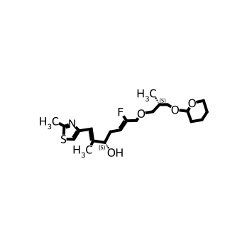 CC(=Cc1csc(C)n1)[C@@H](O)CC=C(F)COC[C@H](C)COC1CCCCO1